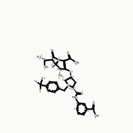 C[C@@H](O)[C@H]1C(=O)N2C(C(=O)O)=C(S[C@H]3C[C@@H](C(=O)Nc4cccc(C(=O)O)c4)N(Cc4ccc(C(F)(F)F)cc4)C3)[C@H](C)[C@H]12